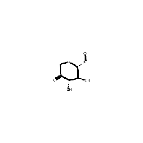 O=C1CO[C@H](CO)[C@@H](O)[C@@H]1O